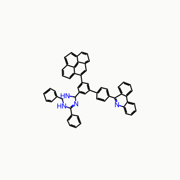 c1ccc(C2=NC(c3cc(-c4ccc(-c5nc6ccccc6c6ccccc56)cc4)cc(-c4cc5cccc6ccc7cccc4c7c65)c3)NC(c3ccccc3)N2)cc1